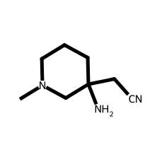 CN1CCCC(N)(CC#N)C1